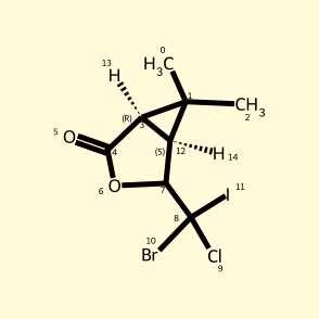 CC1(C)[C@@H]2C(=O)OC(C(Cl)(Br)I)[C@@H]21